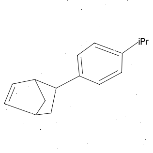 CC(C)c1ccc(C2CC3C=CC2C3)cc1